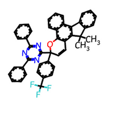 CC1(C)c2ccccc2-c2c1c1c(c3ccccc23)OC(c2ccc(C(F)(F)F)cc2)(c2nc(-c3ccccc3)nc(-c3ccccc3)n2)C=C1